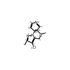 Cc1nn2c(c1Cl)CN(C)c1cnccc1-2